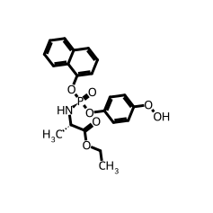 CCOC(=O)[C@H](C)N[P@@](=O)(Oc1ccc(OO)cc1)Oc1cccc2ccccc12